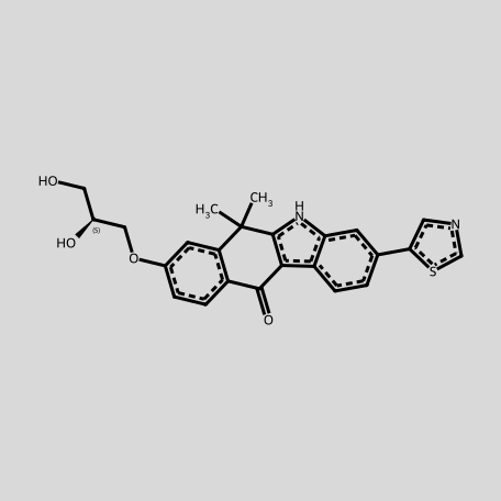 CC1(C)c2cc(OC[C@@H](O)CO)ccc2C(=O)c2c1[nH]c1cc(-c3cncs3)ccc21